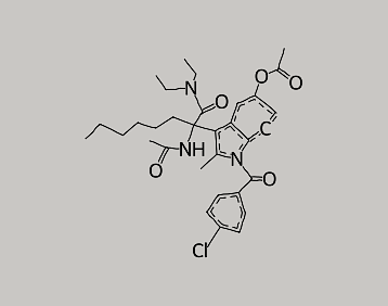 CCCCCCC(NC(C)=O)(C(=O)N(CC)CC)c1c(C)n(C(=O)c2ccc(Cl)cc2)c2ccc(OC(C)=O)cc12